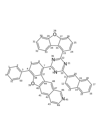 c1ccc(-c2ccc(-c3nc(-c4ccc5ccccc5c4)nc(-c4cccc5oc6ccccc6c45)n3)c3c2oc2cc4ccncc4cc23)cc1